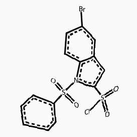 O=S(=O)(Cl)c1cc2cc(Br)ccc2n1S(=O)(=O)c1ccccc1